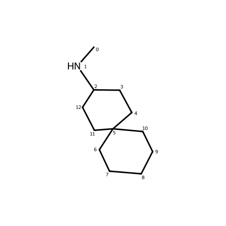 CNC1CCC2(CCCCC2)CC1